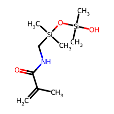 C=C(C)C(=O)NC[Si](C)(C)O[Si](C)(C)O